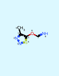 Cc1nnsc1OC=N